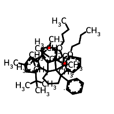 CCCCOCCC1(CCOCCCC)C(c2[c]cccc2)(c2[c]cccc2)CCCC1(c1c(C(C)(C)C)cc(C)cc1C(C)(C)C)c1c(C(C)(C)C)cc(C)cc1C(C)(C)C